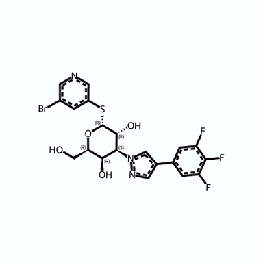 OC[C@H]1O[C@H](Sc2cncc(Br)c2)[C@H](O)[C@@H](n2cc(-c3cc(F)c(F)c(F)c3)cn2)[C@H]1O